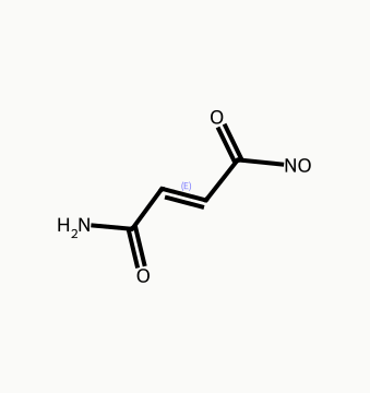 NC(=O)/C=C/C(=O)N=O